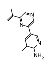 C=C(C)c1cncc(C2=CC(C)C(N)N=C2)n1